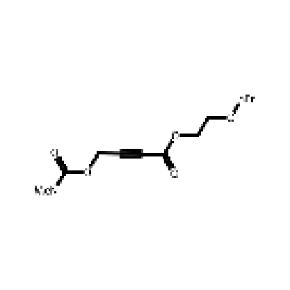 CCCOCCOC(=O)C#CCOC(=O)NC